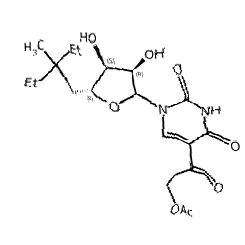 CCC(C)(CC)C[C@H]1OC(n2cc(C(=O)COC(C)=O)c(=O)[nH]c2=O)[C@H](O)[C@@H]1O